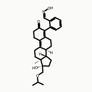 CC(C)OC[C@]1(O)CC[C@H]2[C@@H]3CCC4=C(c5ccccc5/C=N\O)C(=O)CCC4=C3CC[C@@]21C